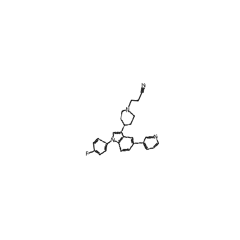 N#CCCN1CCC(c2cn(-c3ccc(F)cc3)c3ccc(-c4cccnc4)cc23)CC1